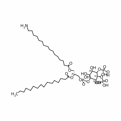 CCCCCCCCCCCCCCCC(=O)O[C@H](COC(=O)CCCCCCCCCCCCCCCN)COP(=O)(O)OC1C(O)[C@@H](O)C(OP(=O)(O)O)[C@@H](OP(=O)(O)O)[C@H]1O